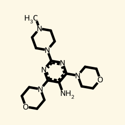 CN1CCN(c2nc(N3CCOCC3)c(N)c(N3CCOCC3)n2)CC1